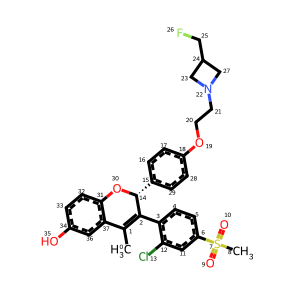 CC1=C(c2ccc(S(C)(=O)=O)cc2Cl)[C@@H](c2ccc(OCCN3CC(CF)C3)cc2)Oc2ccc(O)cc21